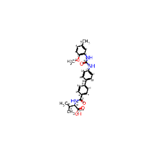 COc1ccc(C)cc1NC(=O)Nc1ccc(-c2ccc(C(=O)N[C@@H](C(=O)O)C(C)C)cc2)cc1